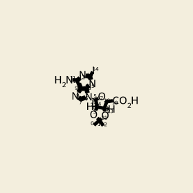 CC1(C)O[C@H]2[C@H](n3cnc4c(N)nc(I)nc43)OC(C(=O)O)[C@@H]2O1